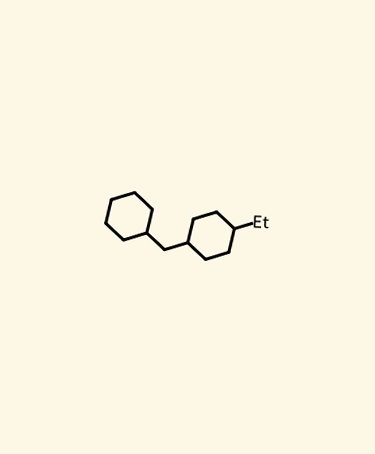 CCC1CCC(CC2CCCCC2)CC1